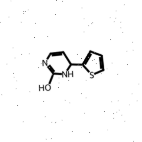 OC1=NC=CC(c2cccs2)N1